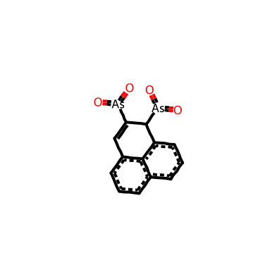 O=[As](=O)C1=Cc2cccc3cccc(c23)C1[As](=O)=O